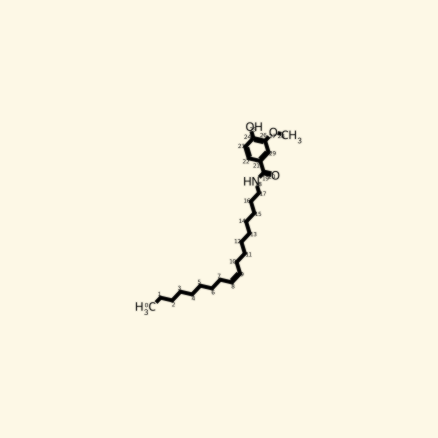 CCCCCCCC/C=C\CCCCCCCCNC(=O)c1ccc(O)c(OC)c1